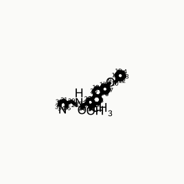 CC12CCC3c4ccc(OCc5ccccc5)cc4CCC3C1CC(C(=O)NCCc1cccnc1)C2O